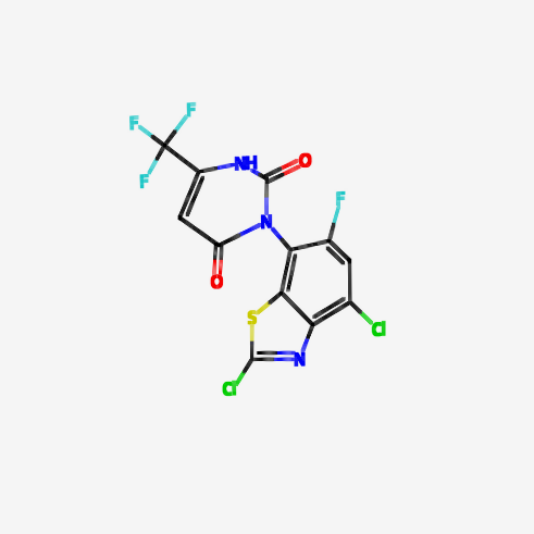 O=c1cc(C(F)(F)F)[nH]c(=O)n1-c1c(F)cc(Cl)c2nc(Cl)sc12